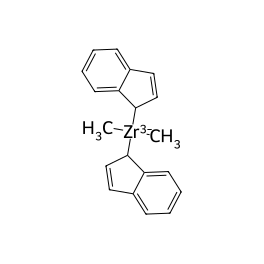 [CH3][Zr-3]([CH3])([CH]1C=Cc2ccccc21)[CH]1C=Cc2ccccc21